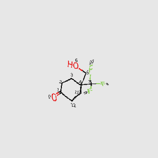 O=C1CCC(CO)(C(F)(F)F)CC1